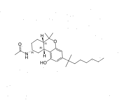 CCCCCCC(C)(C)c1cc(O)c2c(c1)OC(C)(C)[C@H]1CC[C@@H](NC(C)=O)C[C@@H]21